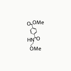 COCCNC(=O)c1ccc(C(=O)OC)cc1